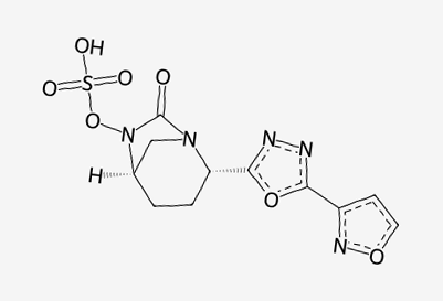 O=C1N2C[C@@H](CC[C@H]2c2nnc(-c3ccon3)o2)N1OS(=O)(=O)O